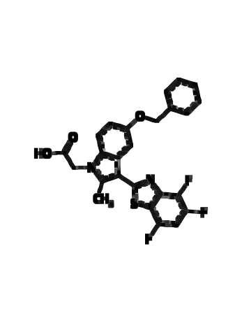 Cc1c(-c2nc3c(F)c(F)cc(F)c3s2)c2cc(OCc3ccccc3)ccc2n1CC(=O)O